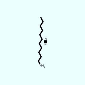 CCCCCCCCCCCN.N#N